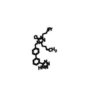 C=CCCc1nn(CCC(C)C)c(=O)n1Cc1ccc(-c2cccc(-c3nnn[nH]3)c2)cc1